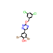 Oc1c(Br)cc(-c2cnc(OCc3cc(Cl)cc(Cl)c3)nn2)cc1Br